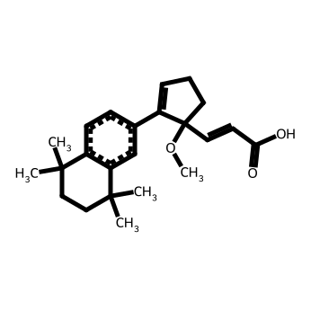 COC1(/C=C/C(=O)O)CCC=C1c1ccc2c(c1)C(C)(C)CCC2(C)C